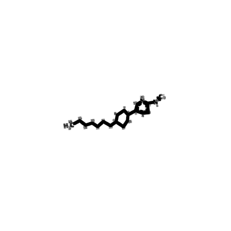 [C-]#[N+]c1ccc(C2CCC(CCCCCCC)CC2)cn1